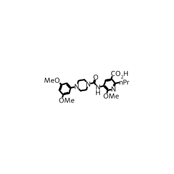 CCCc1nc(OC)c(NC(=O)N2CCN(c3cc(OC)cc(OC)c3)CC2)cc1C(=O)O